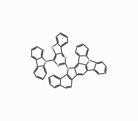 c1ccc2c(c1)ccc1c3cc4c5ccccc5n5c6ccccc6c(c3n(-c3nc(-n6c7ccccc7c7ccccc76)c6oc7ccccc7c6n3)c21)c45